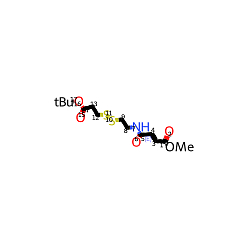 COC(=O)/C=C/C(=O)NCCSSCCC(=O)OC(C)(C)C